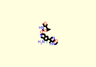 Cc1c(-c2cc3cc(OC(=O)NC4COCC4C4CC4)ncc3c(N)c2F)cnc2c1NCCO2